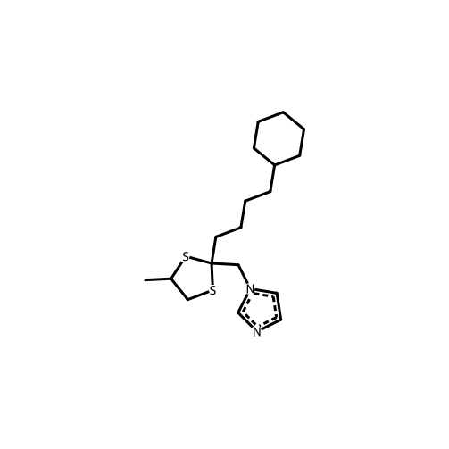 CC1CSC(CCCCC2CCCCC2)(Cn2ccnc2)S1